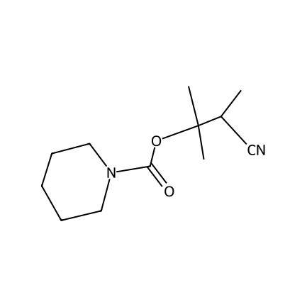 CC(C#N)C(C)(C)OC(=O)N1CCCCC1